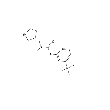 C1CCPC1.CN(C)C(=O)Oc1cccc([N+](C)(C)C)c1